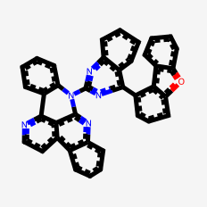 c1ccc2c(c1)-c1nccc3c1c(nc1ccccc13)N2c1nc(-c2cccc3oc4ccccc4c23)c2ccccc2n1